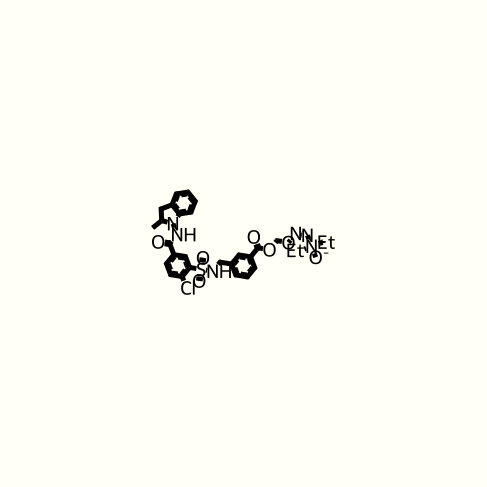 CC[N+]([O-])(CC)/N=N\OCOC(=O)c1cccc(CNS(=O)(=O)c2cc(C(=O)NN3c4ccccc4CC3C)ccc2Cl)c1